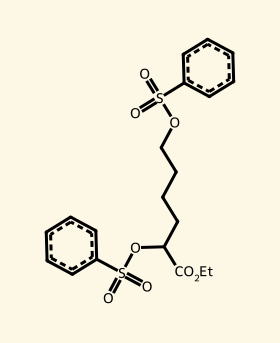 CCOC(=O)C(CCCCOS(=O)(=O)c1ccccc1)OS(=O)(=O)c1ccccc1